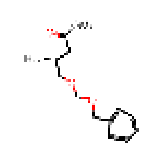 COC(=O)C[C@H](C)COCOCc1ccccc1